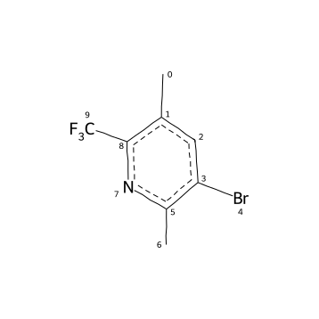 Cc1cc(Br)c(C)nc1C(F)(F)F